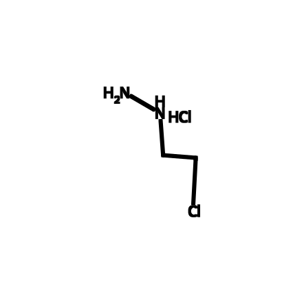 Cl.NNCCCl